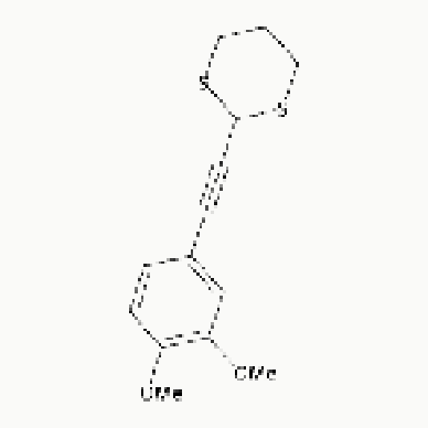 COc1ccc(C#CC2SCCCS2)cc1OC